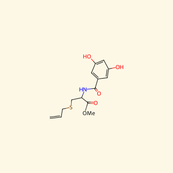 C=CCSCC(NC(=O)c1cc(O)cc(O)c1)C(=O)OC